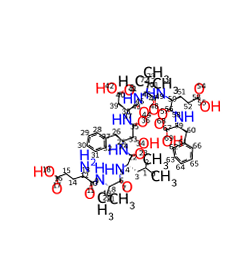 CC(C)C[C@H](NC(=O)[C@@H](NC(=O)[C@@H](N)CCC(=O)O)C(C)C)C(=O)N[C@@H](Cc1ccccc1)[C@@H](O)C(=O)N[C@@H](CC(=O)O)C(=O)N[C@H](C(=O)N[C@@H](CCC(=O)O)C(=O)N[C@@H](Cc1ccccc1)C(=O)O)C(C)(C)C